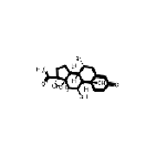 CC(=O)[C@@]1(O)CC[C@H]2[C@H]3[C@H]([C@@H](O)C[C@@]21C)[C@@]1(C)C=CC(=O)C=C1C[C@H]3Br